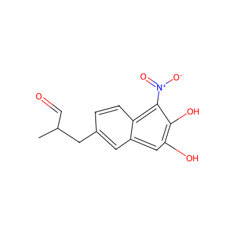 CC(C=O)Cc1ccc2c([N+](=O)[O-])c(O)c(O)cc2c1